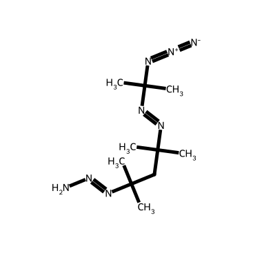 CC(C)(CC(C)(C)N=NC(C)(C)N=[N+]=[N-])N=NN